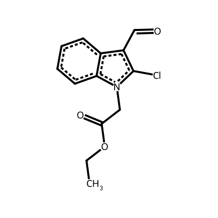 CCOC(=O)Cn1c(Cl)c(C=O)c2ccccc21